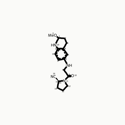 COC1CCc2cc(NCC(=O)N3CCC[C@H]3C#N)ccc2N1